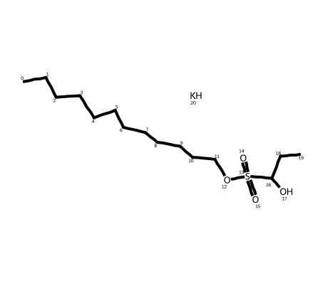 CCCCCCCCCCCCOS(=O)(=O)C(O)CC.[KH]